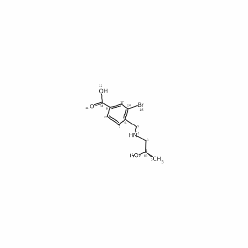 C[C@@H](O)CNCc1ccc(C(=O)O)cc1Br